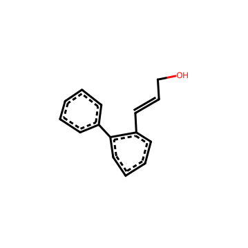 OCC=Cc1ccccc1-c1ccccc1